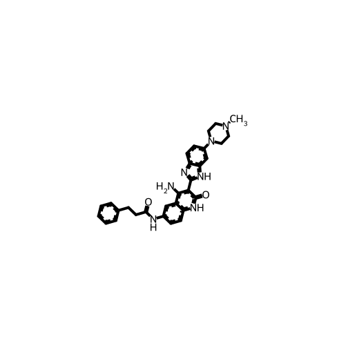 CN1CCN(c2ccc3nc(-c4c(N)c5cc(NC(=O)CCc6ccccc6)ccc5[nH]c4=O)[nH]c3c2)CC1